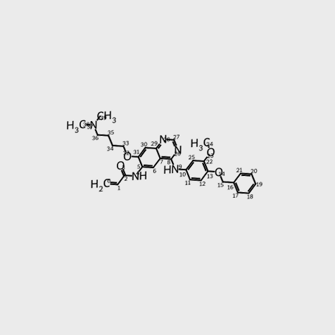 C=CC(=O)Nc1cc2c(Nc3ccc(OCc4ccccc4)c(OC)c3)ncnc2cc1OCCCCN(C)C